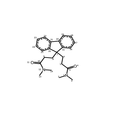 CN(C)C(=O)CCC1(CCC(=O)N(C)C)c2ccccc2-c2ccccc21